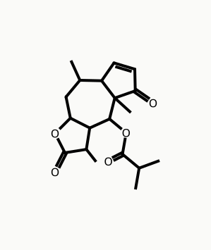 CC(C)C(=O)OC1C2C(CC(C)C3C=CC(=O)C31C)OC(=O)C2C